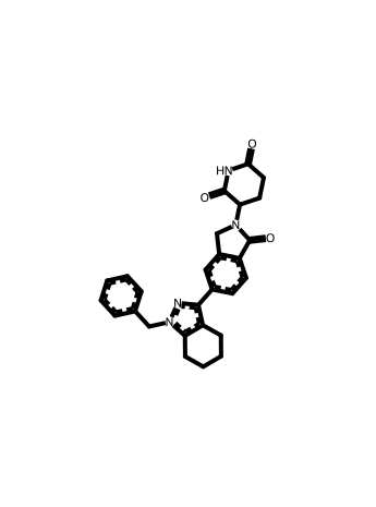 O=C1CCC(N2Cc3cc(-c4nn(Cc5ccccc5)c5c4CCCC5)ccc3C2=O)C(=O)N1